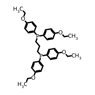 CCOc1ccc(P(CCCP(c2ccc(OCC)cc2)c2ccc(OCC)cc2)c2ccc(OCC)cc2)cc1